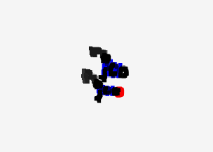 CC(C)=CCN(c1ccc(C(C)C)cc1)C1CCN(C2CCCCC2)CC1.CC(C)=CCN(c1ccc(C(C)C)cc1)C1CCN(C2CCOCC2)CC1